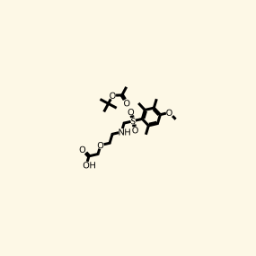 CC(=O)OC(C)(C)C.COc1cc(C)c(S(=O)(=O)CNCCOCC(=O)O)c(C)c1C